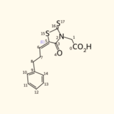 O=C(O)CN1C(=O)/C(=C\CCc2ccccc2)SC1=S